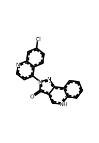 O=c1c2c[nH]c3ccccc3c-2nn1-c1ccnc2cc(Cl)ccc12